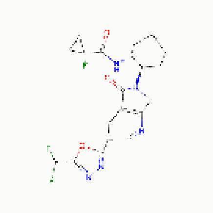 O=C1c2cc(-c3nnc(C(F)F)o3)cnc2CN1[C@@H]1CCCC[C@H]1NC(=O)C1(F)CC1